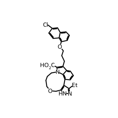 CCc1n[nH]c2c1-c1cccc3c(CCCOc4cccc5cc(Cl)ccc45)c(C(=O)O)n(c13)CCCCOC2